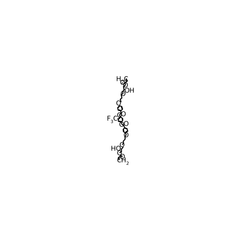 C=CC(=O)OCC(O)COCCCCOc1ccc(C(=O)Oc2ccc(OC(=O)c3ccc(OCCCCOCC(O)COC(=O)C=C)cc3)c(C(F)(F)F)c2)cc1